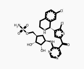 NS(=O)(=O)OC[C@H]1C[C@@H](Nc2ncncc2C(=O)c2cc([C@@H]3NCCc4ccc(Cl)cc43)c(Cl)s2)[C@H](O)[C@@H]1O